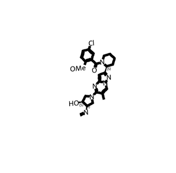 C=N[C@@H]1CN(c2nc3cc([C@@H]4CCCCN4C(=O)c4cc(Cl)ccc4OC)nn3cc2C)C[C@@H]1O